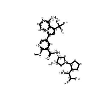 COc1ncc(-c2cc(C(F)(F)F)c3c(N)ncnn23)cc1C(=O)N[C@@H]1CN(C2CCCC2C(O)C(F)F)C[C@@H]1F